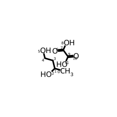 CC(O)CCO.O=C(O)C(=O)O